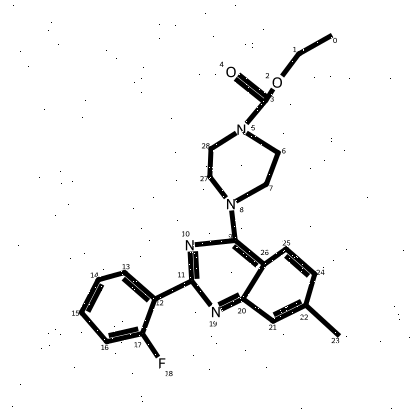 CCOC(=O)N1CCN(c2nc(-c3ccccc3F)nc3cc(C)ccc23)CC1